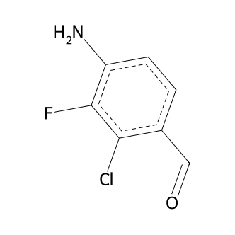 Nc1ccc(C=O)c(Cl)c1F